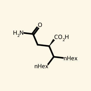 CCCCCCC(CCCCCC)[C@@H](CC(N)=O)C(=O)O